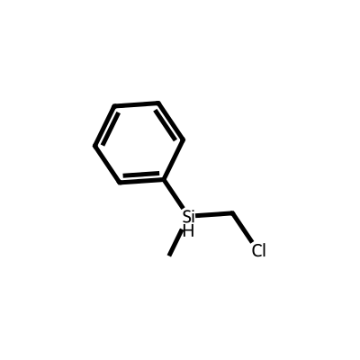 C[SiH](CCl)c1ccccc1